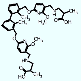 COc1nc(OCc2cccc(-c3cccc(COc4ccc(CNCC(C)C(=O)O)c(OC)n4)c3C)c2C)ccc1CNCC(C)C(=O)O